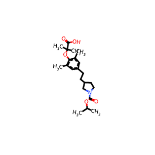 Cc1cc(CCC2CCN(C(=O)OC(C)C)C2)cc(C)c1OC(C)(C)C(=O)O